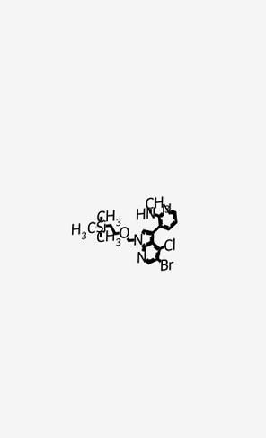 CNc1ncccc1-c1cn(COCC[Si](C)(C)C)c2ncc(Br)c(Cl)c12